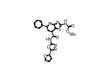 CC(C)(C)OC(=O)Nc1nc2nc(-c3ccccc3)cc(C(=O)Nc3nnc(-c4ccco4)o3)c2s1